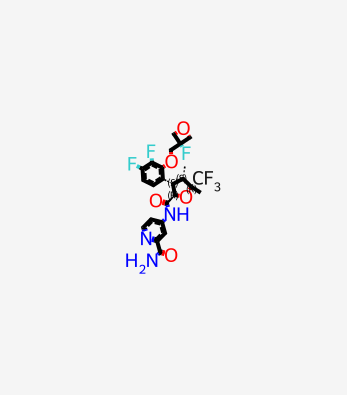 C[C@H]1[C@@H](c2ccc(F)c(F)c2OCC2(F)COC2)[C@H](C(=O)Nc2ccnc(C(N)=O)c2)O[C@@]1(C)C(F)(F)F